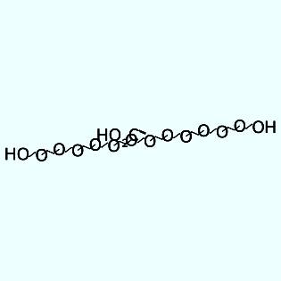 C=CC(=O)O.OCCOCCOCCOCCOCCOCCOCCOCCOCCOCCOCCOCCOCCO